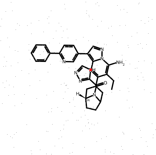 CCc1c(C2CC3CC[C@H](C2)N3C(=O)c2nnc[nH]2)nc2c(-c3ccc(-c4ccccc4)nc3)cnn2c1N